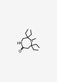 CCC1(CC)CNC(=O)CC(CC)(CC)N1C